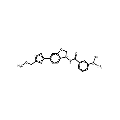 COCc1nc(-c2ccc3c(c2)OC[C@H]3NC(=O)c2cccc([C@H](C)O)c2)no1